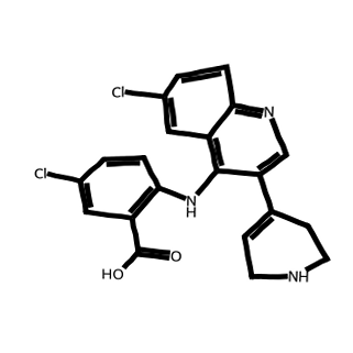 O=C(O)c1cc(Cl)ccc1Nc1c(C2=CCNCC2)cnc2ccc(Cl)cc12